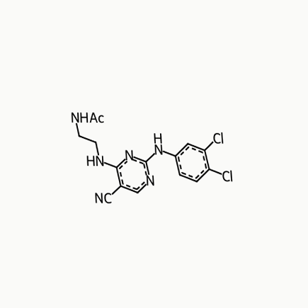 CC(=O)NCCNc1nc(Nc2ccc(Cl)c(Cl)c2)ncc1C#N